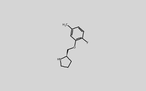 Cc1ccc(F)c(OC[C@H]2CCCN2)c1